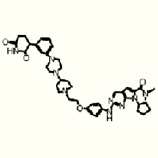 CN(C)C(=O)c1cc2cnc(Nc3ccc(OCCN4CCC(N5CCN(c6cccc(C7CCC(=O)NC7=O)c6)CC5)CC4)cc3)nc2n1C1CCCC1